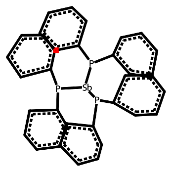 c1ccc([P](c2ccccc2)[Sb]([P](c2ccccc2)c2ccccc2)[P](c2ccccc2)c2ccccc2)cc1